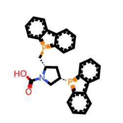 O=C(O)N1C[C@@H](p2c3ccccc3c3ccccc32)C[C@H]1Cp1c2ccccc2c2ccccc21